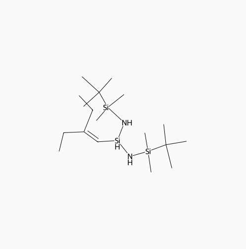 CCC(=C[SiH](N[Si](C)(C)C(C)(C)C)N[Si](C)(C)C(C)(C)C)CC